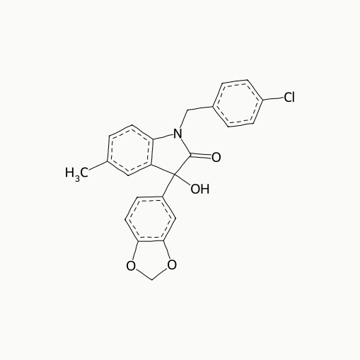 Cc1ccc2c(c1)C(O)(c1ccc3c(c1)OCO3)C(=O)N2Cc1ccc(Cl)cc1